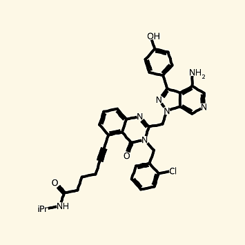 CC(C)NC(=O)CCCC#Cc1cccc2nc(Cn3nc(-c4ccc(O)cc4)c4c(N)cncc43)n(Cc3ccccc3Cl)c(=O)c12